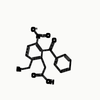 O=C(O)Cc1c(CBr)ccc([N+](=O)[O-])c1C(=O)c1ccccc1